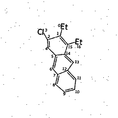 CCc1c(Cl)cc2cc3ccccc3cc2c1CC